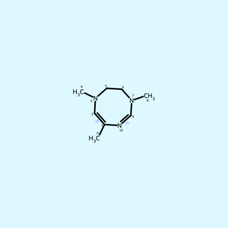 CC1=C/N(C)CCN(C)/C=N\1